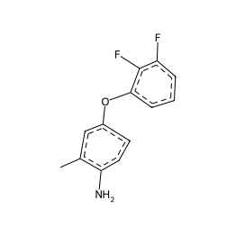 Cc1cc(Oc2cccc(F)c2F)ccc1N